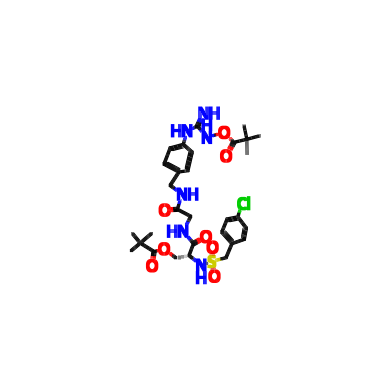 CC(C)(C)C(=O)OC[C@@H](NS(=O)(=O)Cc1ccc(Cl)cc1)C(=O)NCC(=O)NCc1ccc(NC(=N)NOC(=O)C(C)(C)C)cc1